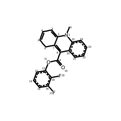 CN1C2=CC=CCC2=C(C(=O)Oc2cccc(F)c2F)c2ccccc21